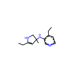 CCC1=CC(C)(Nc2cnccc2CC)CN1